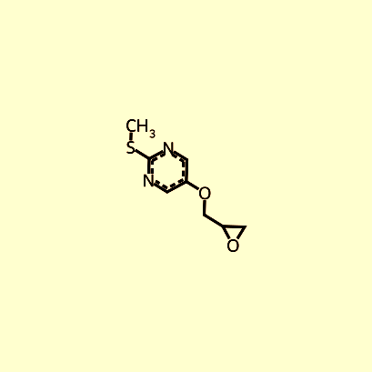 CSc1ncc(OCC2CO2)cn1